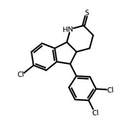 S=C1CCC2C(N1)c1ccc(Cl)cc1C2c1ccc(Cl)c(Cl)c1